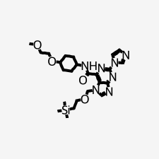 COCCOC1CCC(NC(=O)c2nc(-n3ccnc3)nc3ncn(COCC[Si](C)(C)C)c23)CC1